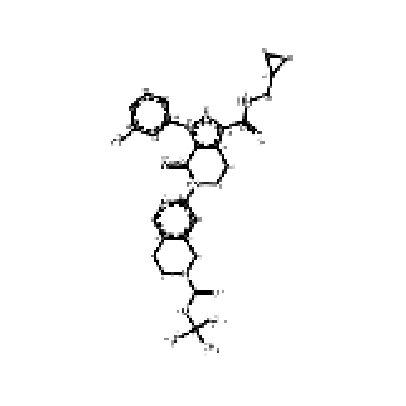 CC(C)(C)OC(=O)N1CCc2cnc(N3CCc4c(C(=O)NCC5CC5)nn(-c5cccc(Cl)c5)c4C3=O)cc2C1